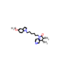 BC(C(=O)NCCCCCCn1ccc2cc(OC)ccc21)C(B)c1cccnc1